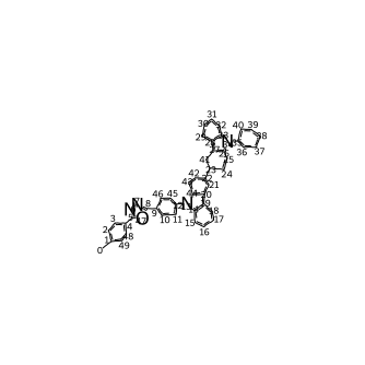 Cc1ccc(-c2nnc(-c3ccc(-n4c5ccccc5c5cc(C6C=Cc7c(c8ccccc8n7-c7ccccc7)C6)ccc54)cc3)o2)cc1